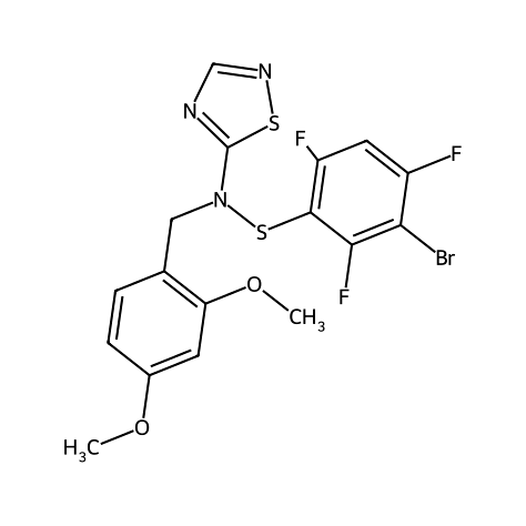 COc1ccc(CN(Sc2c(F)cc(F)c(Br)c2F)c2ncns2)c(OC)c1